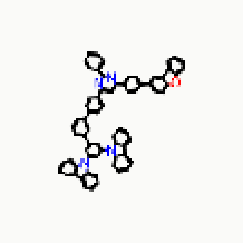 c1ccc(-c2nc(-c3ccc(-c4cccc(-c5cc(-n6c7ccccc7c7ccccc76)cc(-n6c7ccccc7c7ccccc76)c5)c4)cc3)cc(-c3ccc(-c4ccc5oc6ccccc6c5c4)cc3)n2)cc1